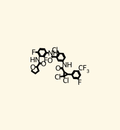 O=C(Nc1ccc(F)c(NC(=O)C2CCCO2)c1F)c1cc(NC(=O)C2C(c3cc(F)cc(C(F)(F)F)c3)C2(Cl)Cl)ccc1Cl